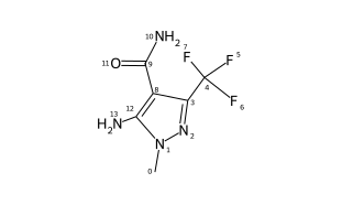 Cn1nc(C(F)(F)F)c(C(N)=O)c1N